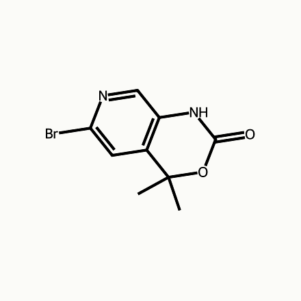 CC1(C)OC(=O)Nc2cnc(Br)cc21